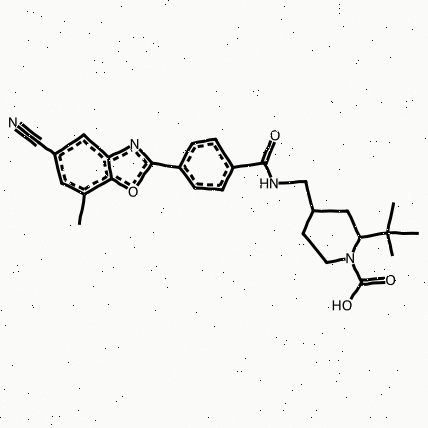 Cc1cc(C#N)cc2nc(-c3ccc(C(=O)NCC4CCN(C(=O)O)C(C(C)(C)C)C4)cc3)oc12